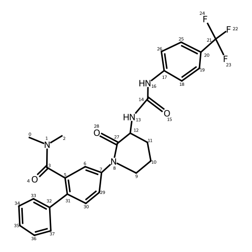 CN(C)C(=O)c1cc(N2CCCC(NC(=O)Nc3ccc(C(F)(F)F)cc3)C2=O)ccc1-c1ccccc1